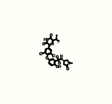 CN1C[C@@H](NS(=O)(=O)c2cc(Oc3c(Cl)cc(-n4nc(C(F)F)c(=O)[nH]c4=O)cc3Cl)ccc2O)CC1=O